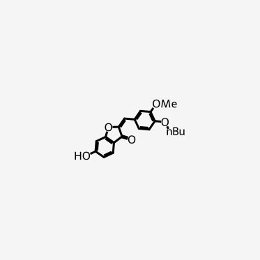 CCCCOc1ccc(C=C2Oc3cc(O)ccc3C2=O)cc1OC